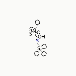 O=C(CC(O)/C=C/CCSC(c1ccccc1)(c1ccccc1)c1ccccc1)N1C(=S)SCC1Cc1ccccc1